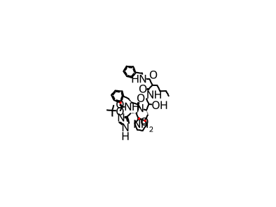 CCCCC(C(=O)NCc1ccccc1)C(=O)NCC(O)[C@H](CC1CCCCC1)N(C(=O)[C@H](Cc1ccccc1)NC(=O)OC(C)(C)C)[C@@H](Cc1c[nH]cn1)C(N)=O